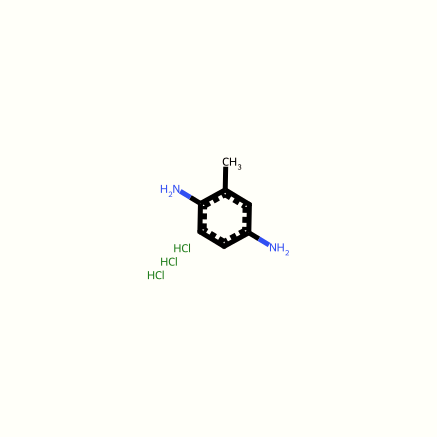 Cc1cc(N)ccc1N.Cl.Cl.Cl